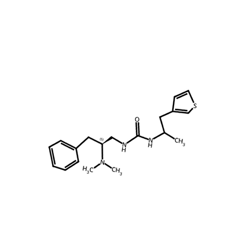 CC(Cc1ccsc1)NC(=O)NC[C@H](Cc1ccccc1)N(C)C